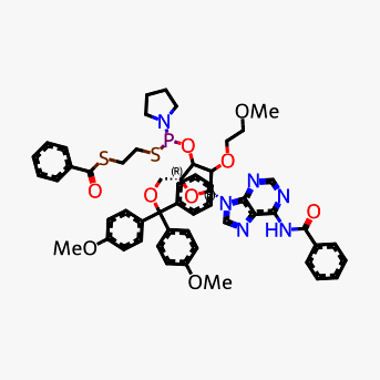 COCCOC1C(OP(SCCSC(=O)c2ccccc2)N2CCCC2)[C@@H](COC(c2ccccc2)(c2ccc(OC)cc2)c2ccc(OC)cc2)O[C@H]1n1cnc2c(NC(=O)c3ccccc3)ncnc21